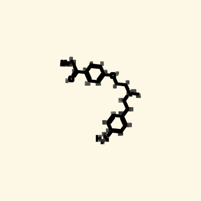 CNC(=O)c1ccc(OCCN(C)CCc2ccc(N)cc2)cc1